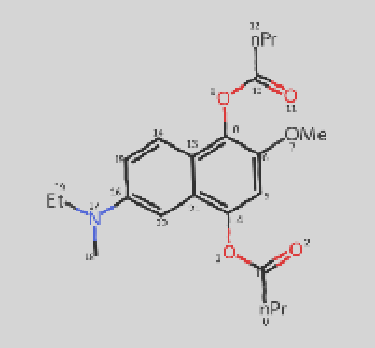 CCCC(=O)Oc1cc(OC)c(OC(=O)CCC)c2ccc(N(C)CC)cc12